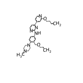 C=CCCOc1cc(-c2ccnc(Nc3ccc(N4CCN(C)CC4)c(COCC=C)c3)n2)ccn1